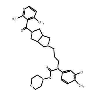 Cc1ccc(N(CCCN2CC3CN(C(=O)c4c(C)ccnc4C)CC3C2)C(=O)ON2CCOCC2)cc1Cl